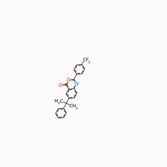 CC(C)(c1ccccc1)c1ccc2nc(-c3ccc(C(F)(F)F)cc3)oc(=O)c2c1